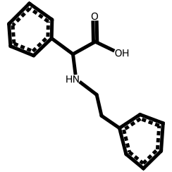 O=C(O)C(NCCc1ccccc1)c1ccccc1